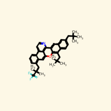 CC(C)(C)Cc1ccc2c(CC(C)(C)C)c3c(cc2c1)-c1nccc2c1c(cc1c(CC(C)(C)C(F)(F)F)cccc12)O3